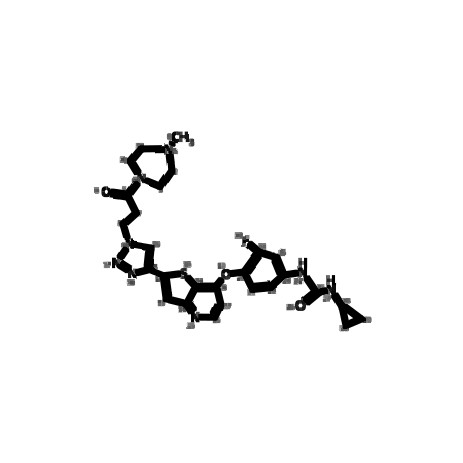 CN1CCN(C(=O)CCn2cc(-c3cc4nccc(Oc5ccc(NC(=O)NC6CC6)cc5F)c4s3)nn2)CC1